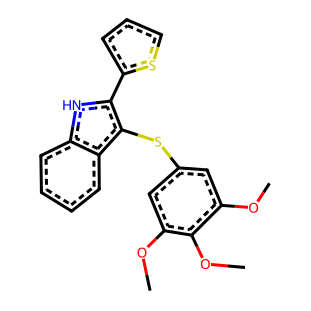 COc1cc(Sc2c(-c3cccs3)[nH]c3ccccc23)cc(OC)c1OC